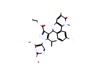 CCOC(=O)c1nn(-c2cnc(OC)nc2OC)c(C(C)C)c1C1Nc2cc(Cl)c(=O)n(C)c2-c2cc(Cl)ccc21